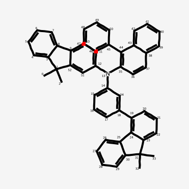 CC1(C)c2ccccc2-c2ccc(N(c3cccc(-c4cccc5c4-c4ccccc4C5(C)C)c3)c3ccc4ccccc4c3-c3ccccc3)cc21